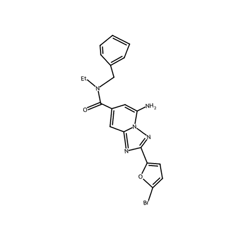 CCN(Cc1ccccc1)C(=O)c1cc(N)n2nc(-c3ccc(Br)o3)nc2c1